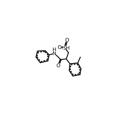 Cc1ccccc1C(C[SH](=O)=O)C(=O)Nc1ccccc1